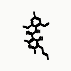 C/C=C/Cc1c(C)nc(C)c(C(=O)Nc2c(CC)cc(C)cc2CC)c1Cl